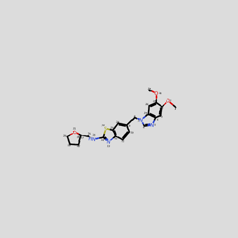 COc1cc2ncn(Cc3ccc4nc(NC[C@H]5CCCO5)sc4c3)c2cc1OC